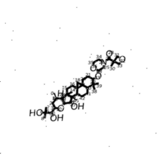 C[C@@H]1CC([C@H](O)C(C)(C)O)OC2[C@H]1C1(C)CCC34CC35CCC(O[C@H]3CN(C(=O)C6(C)COC6)CCO3)C(C)(C)C5CCC4[C@]1(C)[C@H]2O